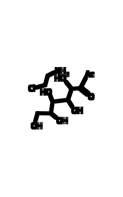 CC(=O)C(=O)C(O)C(O)C(O)C(O)CO.NCCCl